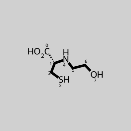 O=C(O)[C@@H](CS)NCCO